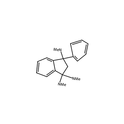 CNC1(NC)CC(NC)(c2ccccc2)c2ccccc21